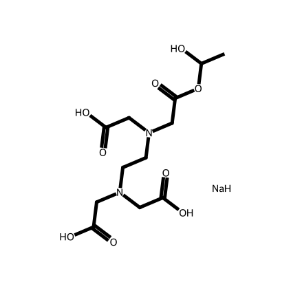 CC(O)OC(=O)CN(CCN(CC(=O)O)CC(=O)O)CC(=O)O.[NaH]